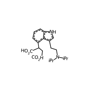 CC(C)N(CCc1c[nH]c2cccc(C(CC(=O)O)C(=O)O)c12)C(C)C